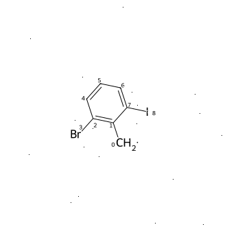 [CH2]c1c(Br)cccc1I